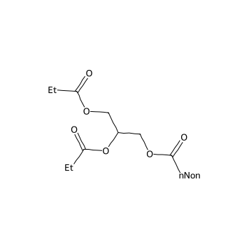 CCCCCCCCCC(=O)OCC(COC(=O)CC)OC(=O)CC